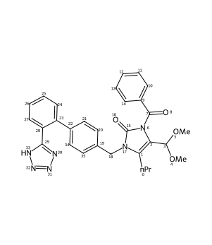 CCCc1c(C(OC)OC)n(C(=O)c2ccccc2)c(=O)n1Cc1ccc(-c2ccccc2-c2nnn[nH]2)cc1